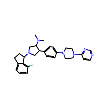 CN(C)C1CN(C2CCc3cccc(F)c32)CC1c1ccc(N2CCN(c3ccncn3)CC2)cc1